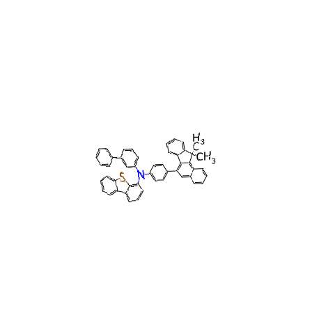 CC1(C)c2ccccc2-c2c(-c3ccc(N(c4cccc(-c5ccccc5)c4)c4cccc5c4sc4ccccc45)cc3)cc3ccccc3c21